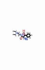 CCN(CC)CCNC(=O)c1nnc2ccccc2c1O